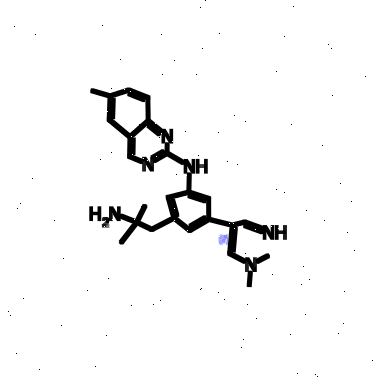 Cc1ccc2nc(Nc3cc(CC(C)(C)N)cc(/C(C=N)=C/N(C)C)c3)ncc2c1